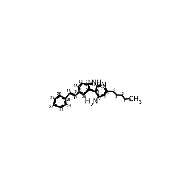 CCCCCc1cc(N)c2c(n1)[nH]c1ccc(C=Cc3ccccc3)cc12